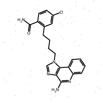 NC(=O)c1ccc(Cl)cc1CCCCn1cnc2c(N)nc3ccccc3c21